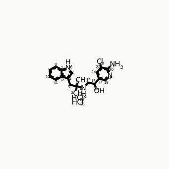 CC(C)(Cc1c[nH]c2ccccc12)NCC(O)c1cnc(N)c(Cl)c1.Cl.Cl